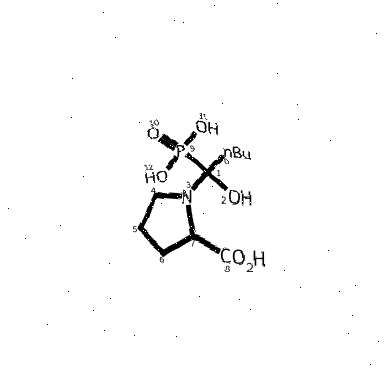 CCCCC(O)(N1CCCC1C(=O)O)P(=O)(O)O